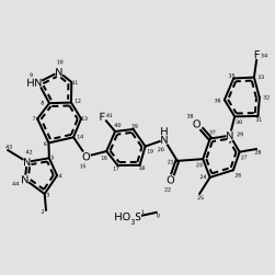 CS(=O)(=O)O.Cc1cc(-c2cc3[nH]ncc3cc2Oc2ccc(NC(=O)c3c(C)cc(C)n(-c4ccc(F)cc4)c3=O)cc2F)n(C)n1